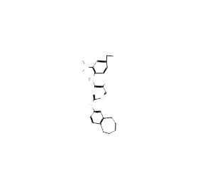 CP(C)c1cc(CO)ccc1Nc1nc(Nc2ccc3c(c2)CCCCC3)ncc1Cl